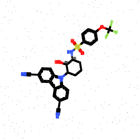 N#Cc1ccc2c(c1)c1cc(C#N)ccc1n2C1CCC[C@@H](NS(=O)(=O)c2ccc(OC(F)(F)F)cc2)[C@@H]1O